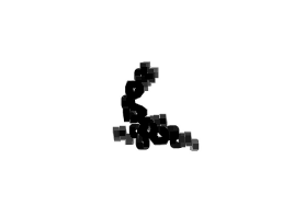 COc1ccc2c(=O)c(C)c(-c3ccc(Oc4ccc(OC(F)(F)F)cc4)nc3)[nH]c2c1